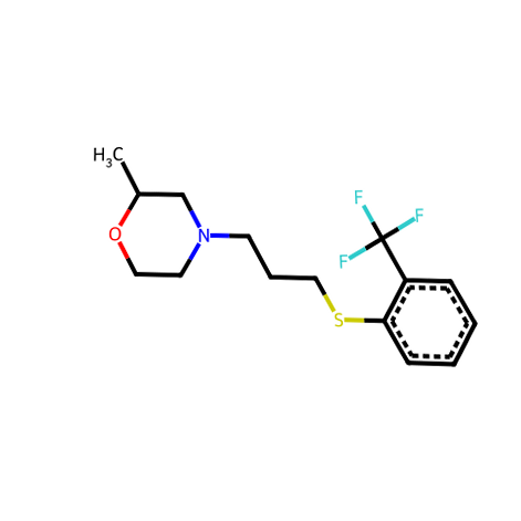 CC1CN(CCCSc2ccccc2C(F)(F)F)CCO1